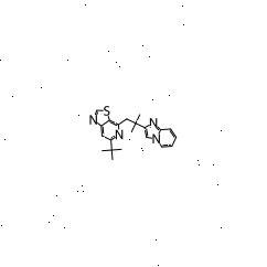 CC(C)(C)c1cc2ncsc2c(CC(C)(C)c2cn3ccccc3n2)n1